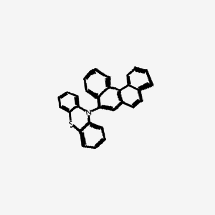 c1ccc2c(c1)Sc1ccccc1N2c1cc2ccc3ccccc3c2c2ccccc12